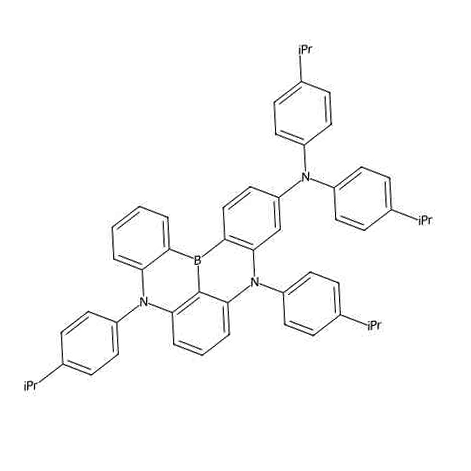 CC(C)c1ccc(N(c2ccc(C(C)C)cc2)c2ccc3c(c2)N(c2ccc(C(C)C)cc2)c2cccc4c2B3c2ccccc2N4c2ccc(C(C)C)cc2)cc1